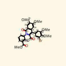 COC(=O)c1cccc(-n2c(C(=O)OC)c(-c3cc(Br)c(OC)c(OC)c3)c3cc(OC)c(OC)cc3c2=O)c1